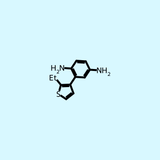 CCc1sccc1-c1cc(N)ccc1N